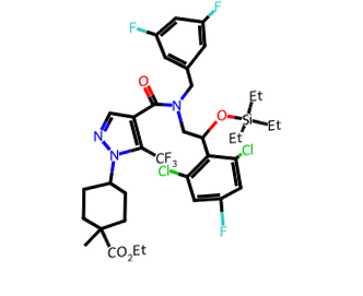 CCOC(=O)C1(C)CCC(n2ncc(C(=O)N(Cc3cc(F)cc(F)c3)CC(O[Si](CC)(CC)CC)c3c(Cl)cc(F)cc3Cl)c2C(F)(F)F)CC1